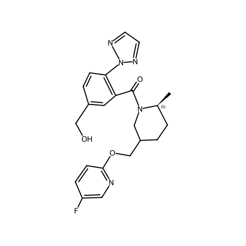 C[C@H]1CCC(COc2ccc(F)cn2)CN1C(=O)c1cc(CO)ccc1-n1nccn1